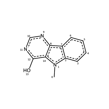 Cn1c2ccccc2c2ncnc(O)c21